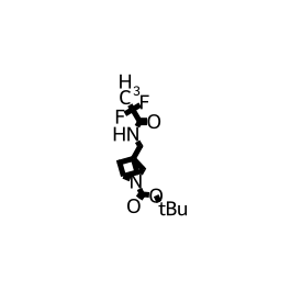 CC(C)(C)OC(=O)N1CC2(CNC(=O)C(C)(F)F)CC1C2